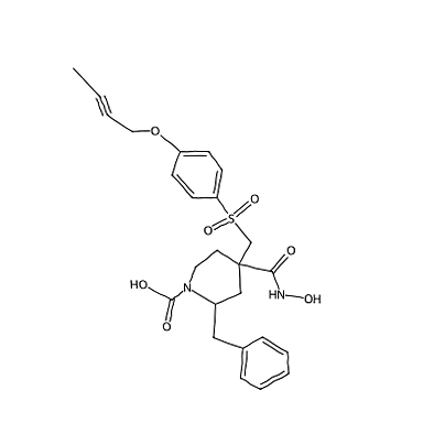 CC#CCOc1ccc(S(=O)(=O)CC2(C(=O)NO)CCN(C(=O)O)C(Cc3ccccc3)C2)cc1